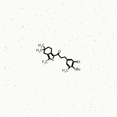 CCCCc1c(C)cc(CCC(=O)c2sc(C(F)(F)F)c3c2CCC(C)(C)C3)cc1CC